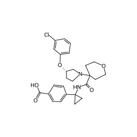 O=C(O)c1ccc(C2(NC(=O)C3(N4CC[C@H](Oc5cccc(Cl)c5)C4)CCOCC3)CC2)cc1